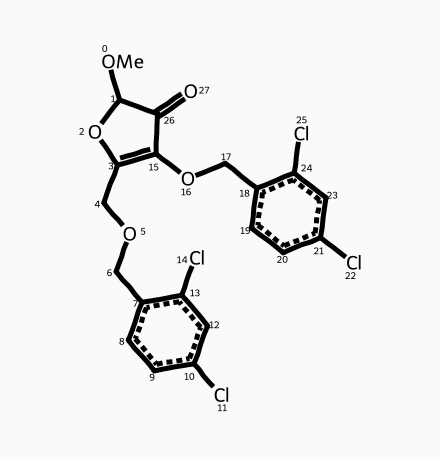 COC1OC(COCc2ccc(Cl)cc2Cl)=C(OCc2ccc(Cl)cc2Cl)C1=O